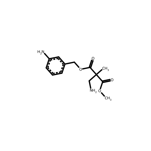 COC(=O)C(C)(CN)C(=O)OCc1cccc(N)c1